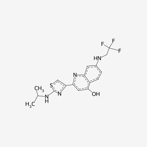 CC(C)Nc1nc(-c2cc(O)c3ccc(NCC(F)(F)F)cc3n2)cs1